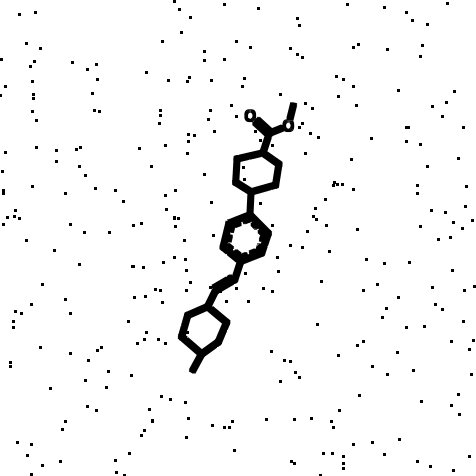 COC(=O)C1CCC(c2ccc(/C=C/C3CCC(C)CC3)cc2)CC1